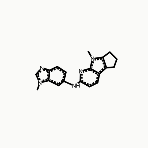 Cn1cnc2ccc(Nc3ccc4c5c(n(C)c4n3)CCC5)cc21